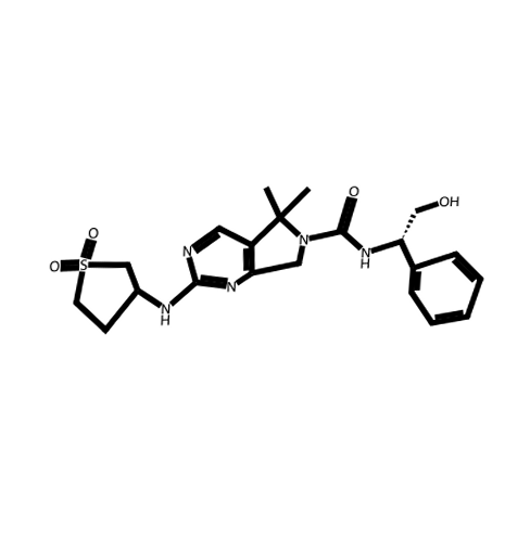 CC1(C)c2cnc(NC3CCS(=O)(=O)C3)nc2CN1C(=O)N[C@H](CO)c1ccccc1